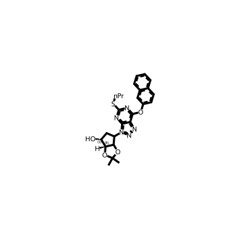 CCCSc1nc(Oc2ccc3ccccc3c2)c2nnn(C3C[C@H](O)[C@H]4OC(C)(C)OC34)c2n1